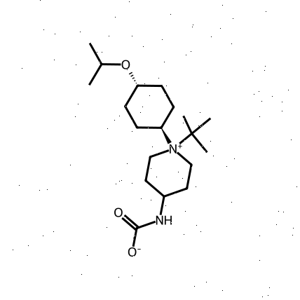 CC(C)O[C@H]1CC[C@H]([N+]2(C(C)(C)C)CCC(NC(=O)[O-])CC2)CC1